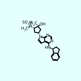 CN([C@H]1C[C@@H](n2ccc3c(N[C@H]4CCc5ccccc54)ncnc32)C[C@]1(C)O)S(=O)(=O)O